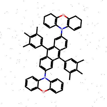 Cc1cc(-c2c3ccc(N4c5ccccc5Oc5ccccc54)cc3c(-c3cc(C)c(C)c(C)c3)c3ccc(N4C5=C(CCC=C5)OC5=C4C=CCC5)cc23)cc(C)c1C